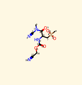 CN(C#N)C(=O)C(CS(C)(=O)=O)NC(=O)OCC#N